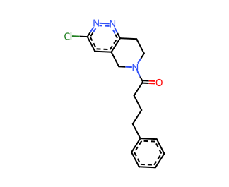 O=C(CCCc1ccccc1)N1CCc2nnc(Cl)cc2C1